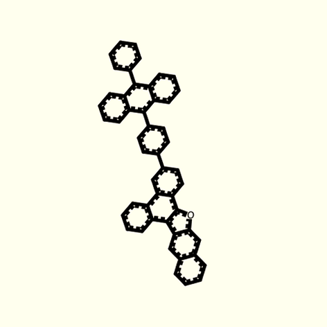 c1ccc(-c2c3ccccc3c(-c3ccc(-c4ccc5c(c4)c4ccccc4c4c6cc7ccccc7cc6oc54)cc3)c3ccccc23)cc1